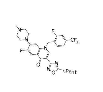 CCCCCc1nc(-c2cn(Cc3ccc(C(F)(F)F)cc3F)c3cc(N4CCN(C)CC4)c(F)cc3c2=O)no1